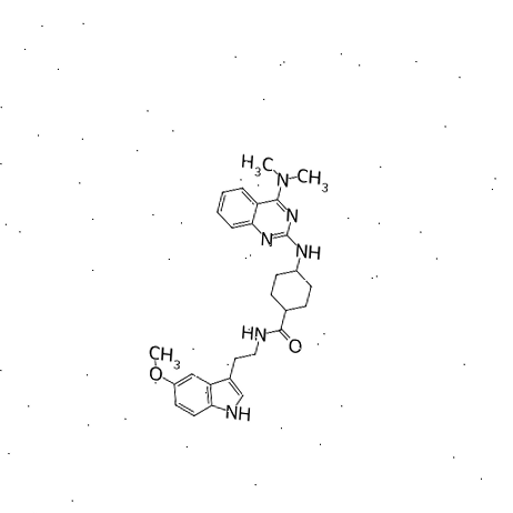 COc1ccc2[nH]cc(CCNC(=O)C3CCC(Nc4nc(N(C)C)c5ccccc5n4)CC3)c2c1